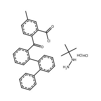 CC(C)(C)NN.Cc1ccc(C(=O)c2ccccc2-c2ccccc2-c2ccccc2)c(C(=O)Cl)c1.Cl.Cl